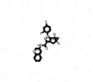 O=C(Nc1cnc2ccccc2c1)c1nn(-c2ccc(F)cc2F)c2c1C[C@H]1C[C@@H]21